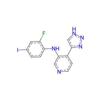 Fc1cc(I)ccc1Nc1cnccc1-c1c[nH]nn1